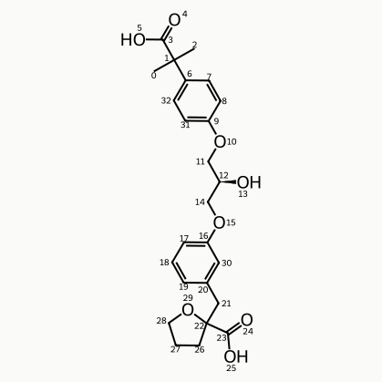 CC(C)(C(=O)O)c1ccc(OC[C@@H](O)COc2cccc(CC3(C(=O)O)CCCO3)c2)cc1